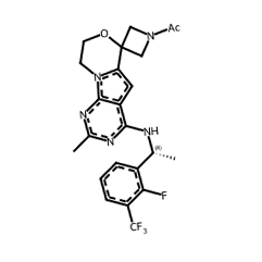 CC(=O)N1CC2(C1)OCCn1c2cc2c(N[C@H](C)c3cccc(C(F)(F)F)c3F)nc(C)nc21